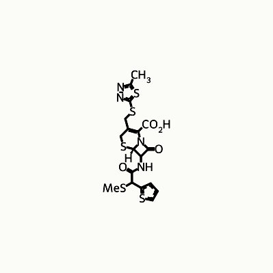 CSC(C(=O)NC1C(=O)N2C(C(=O)O)=C(CSc3nnc(C)s3)CS[C@@H]12)c1cccs1